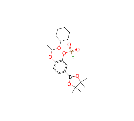 CC(Oc1ccc(B2OC(C)(C)C(C)(C)O2)cc1OS(=O)(=O)F)OC1CCCCC1